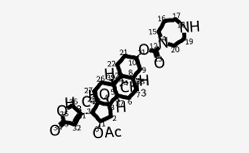 CC(=O)O[C@H]1C[C@]2(O)[C@@H]3CC[C@@H]4C[C@@H](OC(=O)N5CCCNCC5)CC[C@]4(C)[C@H]3CC[C@]2(C)[C@H]1C1=CC(=O)OC1